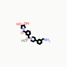 Cl.NCc1cccc(C2CCN(C(=O)c3cccc(C(=O)N4C[C@@H](O)[C@H](O)C4)c3)CC2)c1